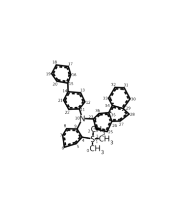 CS(C)(C)c1ccccc1N(c1ccc(-c2ccccc2)cc1)c1ccc2ccc3ccccc3c2c1